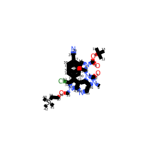 Cn1c(=O)n(C2N(C(=O)OC(C)(C)C)CC23CCCCC3)c2c3c(-c4ccc(C#N)cc4)c(Cl)n(COCC[Si](C)(C)C)c3ncc21